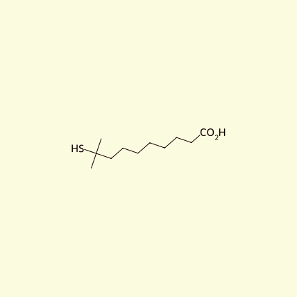 CC(C)(S)CCCCCCCC(=O)O